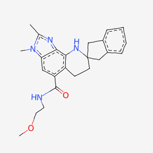 COCCNC(=O)c1cc2c(nc(C)n2C)c2c1CCC1(Cc3ccccc3C1)N2